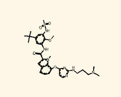 COc1c(NC(=O)c2cc3cccc(Oc4ccnc(NCCCN(C)C)n4)c3n2C)cc(C(C)(C)C)cc1NS(C)(=O)=O